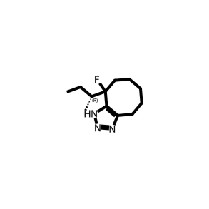 CC[C@@H](C)C1(F)CCCCCc2nn[nH]c21